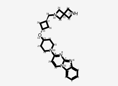 c1ccc2c(c1)nc1nc(N3CCC(O[C@H]4C[C@H](CN5CC6(CNC6)C5)C4)CC3)ccn12